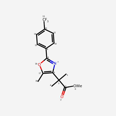 COC(=O)C(C)(C)c1nc(-c2ccc(C(F)(F)F)cc2)oc1C